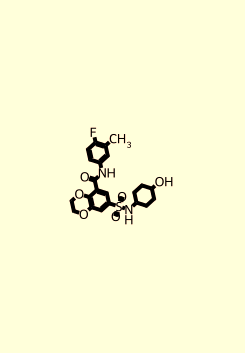 Cc1cc(NC(=O)c2cc(S(=O)(=O)NC3CCC(O)CC3)cc3c2OCCO3)ccc1F